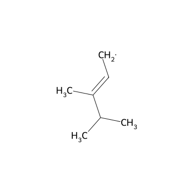 [CH2]/C=C(\C)C(C)C